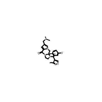 Cc1nocc1C(=O)N1CCN2C(=O)c3cc(CN(C)C)cn3CC12c1ccc(Cl)cc1